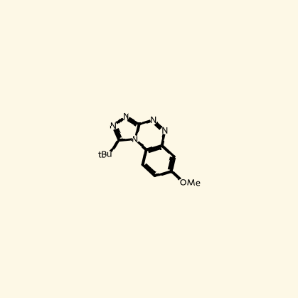 COc1ccc2c(c1)nnc1nnc(C(C)(C)C)n12